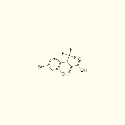 Cc1cc(Br)ccc1C(C(=S)C(=O)O)C(F)(F)F